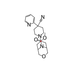 COC(=O)N1C2COCC1CC(N1CCC(C#N)(c3ccccn3)CC1)C2